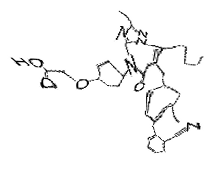 CCCc1c(Cc2ccc(-c3ccccc3C#N)c(C)c2)c(=O)n(C2CCC(OCC(=O)O)CC2)c2nc(C)nn12